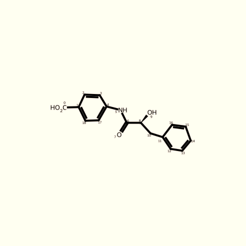 O=C(O)c1ccc(NC(=O)[C@@H](O)Cc2ccccc2)cc1